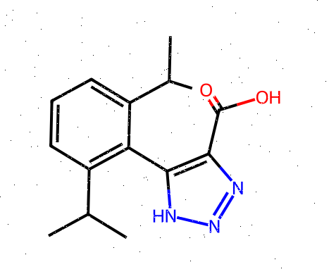 CC(C)c1cccc(C(C)C)c1-c1[nH]nnc1C(=O)O